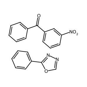 O=C(c1ccccc1)c1cccc([N+](=O)[O-])c1.c1ccc(-c2nnco2)cc1